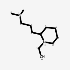 CN(C)CCCC1CCCCN1CC#N